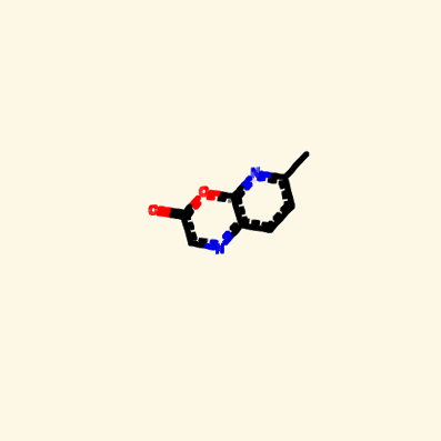 Cc1ccc2ncc(=O)oc2n1